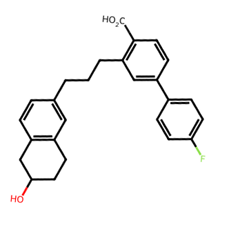 O=C(O)c1ccc(-c2ccc(F)cc2)cc1CCCc1ccc2c(c1)CCC(O)C2